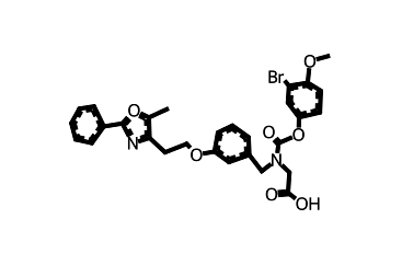 COc1ccc(OC(=O)N(CC(=O)O)Cc2cccc(OCCc3nc(-c4ccccc4)oc3C)c2)cc1Br